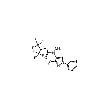 Cc1nn(-c2cccnc2)cc1N(C)C(=O)CC(C(F)(F)F)C(F)(F)F